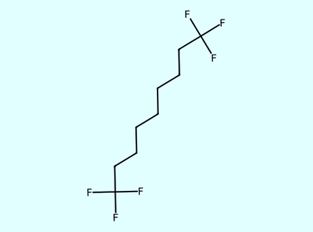 FC(F)(F)CCCCCCCC(F)(F)F